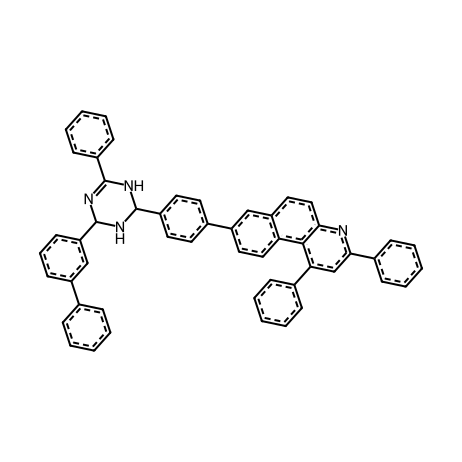 c1ccc(C2=NC(c3cccc(-c4ccccc4)c3)NC(c3ccc(-c4ccc5c(ccc6nc(-c7ccccc7)cc(-c7ccccc7)c65)c4)cc3)N2)cc1